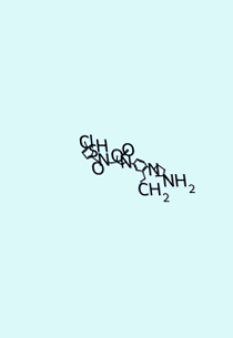 C=CCc1cc(N2CC(CNC(=O)c3ccc(Cl)s3)OC2=O)ccc1N1CCC(N)C1